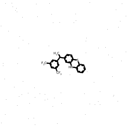 CC(c1cc(C(F)(F)F)cc(C(F)(F)F)c1)c1ccc2c(c1)Nc1ccccc1S2